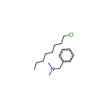 CCCCCCCCCl.CN(C)Cc1ccccc1